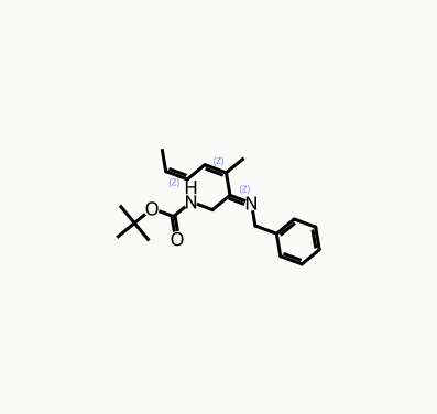 C\C=C/C=C(C)\C(CNC(=O)OC(C)(C)C)=N\Cc1ccccc1